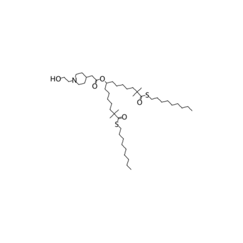 CCCCCCCCCSC(=O)C(C)(C)CCCCCC(CCCCCC(C)(C)C(=O)SCCCCCCCCC)OC(=O)CC1CCN(CCO)CC1